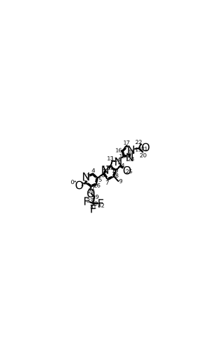 COc1ncc(-c2cc(C)c3c(n2)CN(c2ccn(C4COC4)n2)C3=O)cc1OCC(F)(F)F